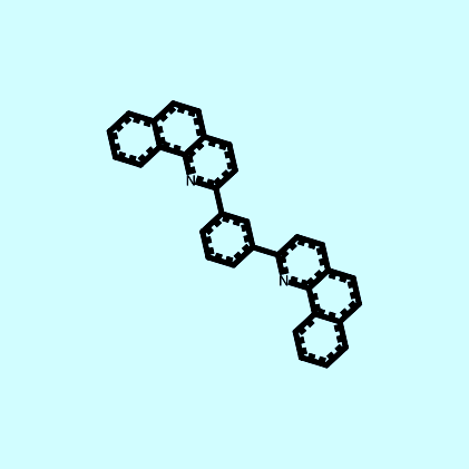 c1cc(-c2ccc3ccc4ccccc4c3n2)cc(-c2ccc3ccc4ccccc4c3n2)c1